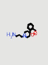 NCCCN1CCC2(CC1)OOCc1ccccc12